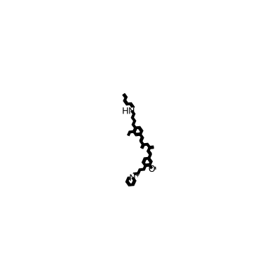 C=C/C=C\C=C/NCCCCc1ccc(/C=C/C(=C)CC(=C)/C=C/c2ccc(CCCC[n+]3ccccc3)c(OC)c2)cc1CC